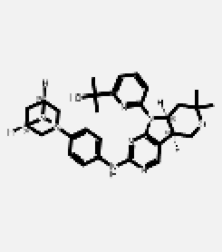 CN1[C@@H]2C[C@H]1CN(c1ccc(Nc3ncc4c(n3)N(c3cccc(C(C)(C)O)n3)[C@H]3CC(C)(C)OC[C@@]43C)cc1)C2